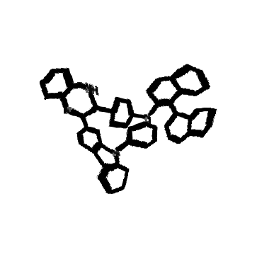 C1=Cc2c(n(-c3ccccc3)c3cc(C4=Nc5ccccc5NC4c4ccc(Nc5ccc6ccccc6c5-c5cccc6ccccc56)cc4)ccc23)CC1